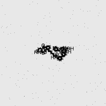 O=C1CCC(N2C(=O)c3cccc(CCCCCC(=O)Nc4cccc(-c5ccc6c(c5)[C@H]5[C@H](CCN5Cc5ccncc5)[C@@H](CO)N6)c4)c3C2=O)C(=O)N1